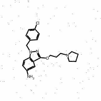 Nc1ccc2c(c1)c(OCCCN1CCCC1)nn2Cc1ccc(Cl)cc1